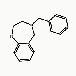 c1ccc(CN2CCNc3ccccc3C2)cc1